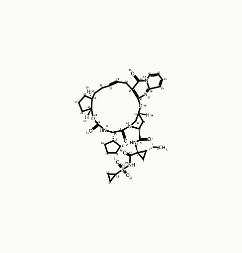 CC[C@@H]1C[C@]1(NC(=O)[C@@H]1C[C@@H]2CN1C(=O)[C@H](C1CCCC1)NC(=O)O[C@@H]1CCC[C@H]1CC/C=C/Cc1c(nc3ccccn3c1=O)O2)C(=O)NS(=O)(=O)C1CC1